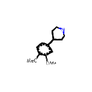 COc1ccc(C2CC[N]CC2)cc1OC